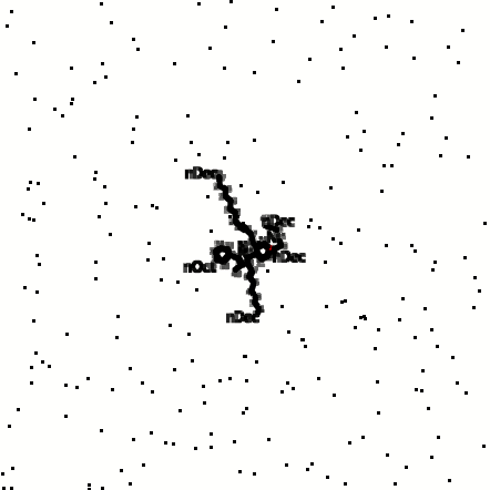 CCCCCCCCCCCCCCCC=CC1=C(c2ccccc2CCC#CCCCCCCCCCCCCCCCCCC)[N+](=[N-])C(c2cccc(CCCCCCCC)c2)=C1C.CCCCCCCCCCC[CH2][Ni][CH2]CCCCCCCCCCC